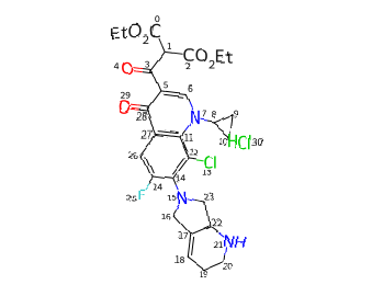 CCOC(=O)C(C(=O)OCC)C(=O)c1cn(C2CC2)c2c(Cl)c(N3CC4=CCCNC4C3)c(F)cc2c1=O.Cl